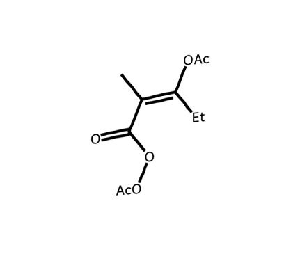 CCC(OC(C)=O)=C(C)C(=O)OOC(C)=O